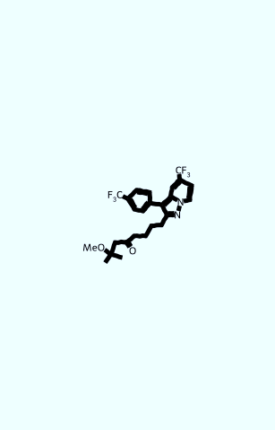 COC(C)(C)CC(=O)CCCCc1nn2ccc(C(F)(F)F)cc2c1-c1ccc(C(F)(F)F)cc1